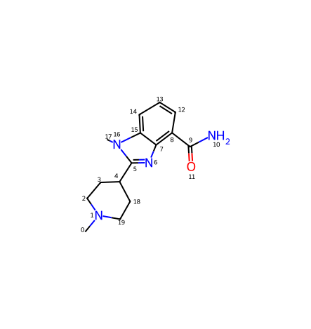 CN1CCC(c2nc3c(C(N)=O)cccc3n2C)CC1